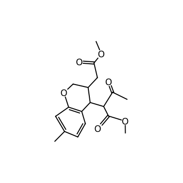 COC(=O)CC1COc2cc(C)ccc2C1C(C(C)=O)C(=O)OC